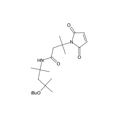 CC(C)COC(C)(C)CC(C)(C)NC(=O)CC(C)(C)N1C(=O)C=CC1=O